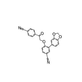 N#Cc1ccc(C(=O)COc2ccc(C#N)cc2-c2ccc3c(c2)OCO3)cc1